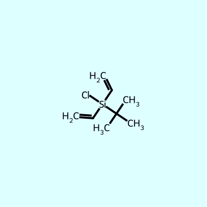 C=C[Si](Cl)(C=C)C(C)(C)C